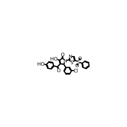 O=C(C1=C(O)C(=O)N(c2ncc(S(=O)(=O)c3ccccc3)s2)C1c1cccc(Cl)c1)c1ccc(O)cc1